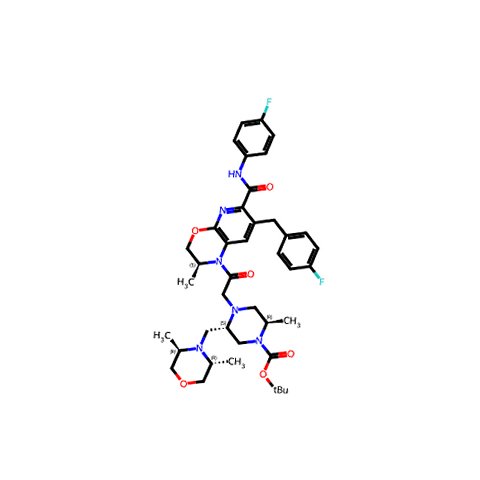 C[C@@H]1CN(CC(=O)N2c3cc(Cc4ccc(F)cc4)c(C(=O)Nc4ccc(F)cc4)nc3OC[C@@H]2C)[C@@H](CN2[C@H](C)COC[C@H]2C)CN1C(=O)OC(C)(C)C